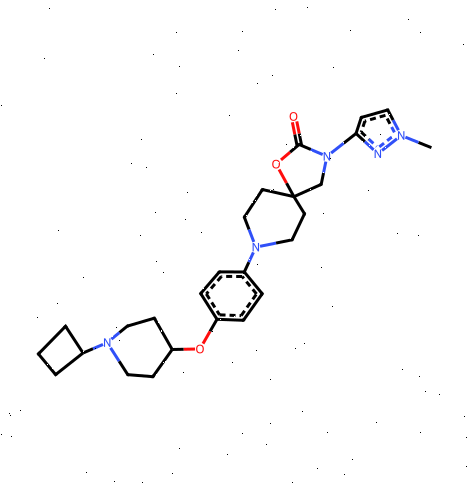 Cn1ccc(N2CC3(CCN(c4ccc(OC5CCN(C6CCC6)CC5)cc4)CC3)OC2=O)n1